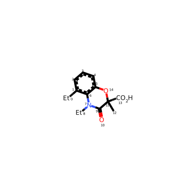 CCc1cccc2c1N(CC)C(=O)C(C)(C(=O)O)O2